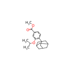 COC(=O)c1ccc(C23CC4CC(CC(C4)C2)C3)c(OC(C)C)c1